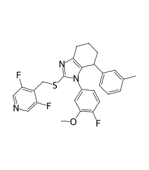 COc1cc(-n2c(SCc3c(F)cncc3F)nc3c2C(c2cccc(C)c2)CCC3)ccc1F